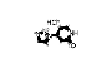 Cl.O=c1cc(-n2ccnn2)cc[nH]1